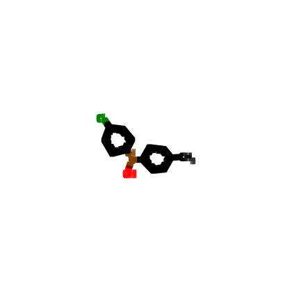 Cc1ccc([SH](O)c2ccc(Cl)cc2)cc1